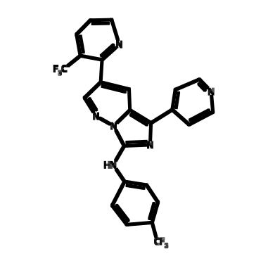 FC(F)(F)c1ccc(Nc2nc(-c3ccncc3)c3cc(-c4ncccc4C(F)(F)F)cnn23)cc1